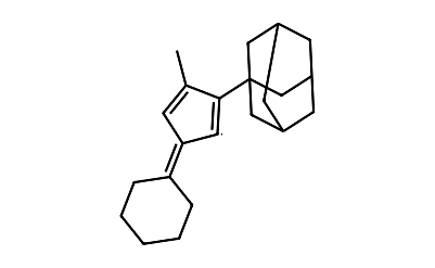 CC1=CC(=C2CCCCC2)[C]=C1C12CC3CC(CC(C3)C1)C2